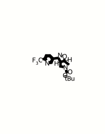 CC(C)(C)OC(=O)N1C[C@@H]2ON=C(c3ccc(C(F)(F)F)nc3)[C@@H]2C1